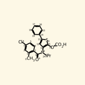 Cc1cc(Cl)ccc1C(=O)N(c1cc(-c2ccccc2)sc1OC(=O)O)C(C)C